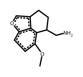 COc1ccc2occ3c2c1C(CN)CC3